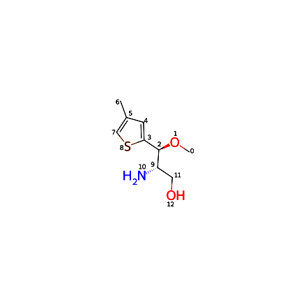 CO[C@H](c1cc(C)cs1)[C@@H](N)CO